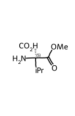 COC(=O)[C@@](N)(C(=O)O)C(C)C